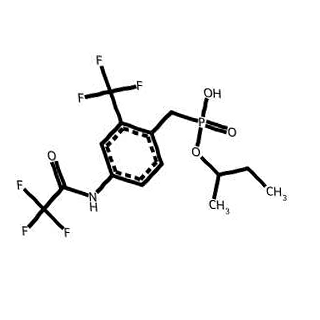 CCC(C)OP(=O)(O)Cc1ccc(NC(=O)C(F)(F)F)cc1C(F)(F)F